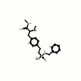 CNC(Cc1ccc(CCP(=O)(O)OCc2ccccc2)cc1)C(=O)OC